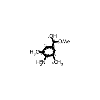 COC(O)c1cc(C)c(N)c(C)c1